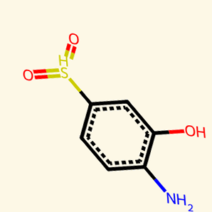 Nc1ccc([SH](=O)=O)cc1O